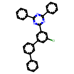 Clc1cc(-c2cccc(-c3ccccc3)c2)cc(-c2nc(-c3ccccc3)nc(-c3ccccc3)n2)c1